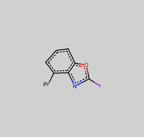 CC(C)c1cccc2oc(I)nc12